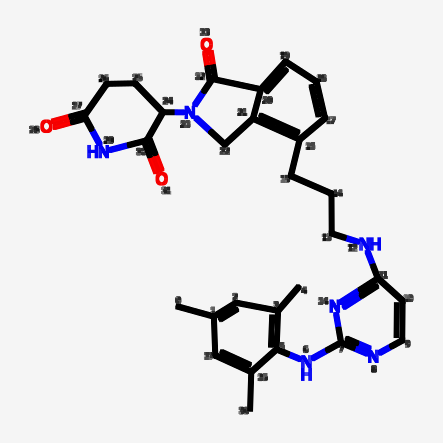 Cc1cc(C)c(Nc2nccc(NCCCc3cccc4c3CN(C3CCC(=O)NC3=O)C4=O)n2)c(C)c1